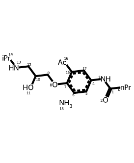 CCCC(=O)Nc1ccc(OCC(O)CNC(C)C)c(C(C)=O)c1.N